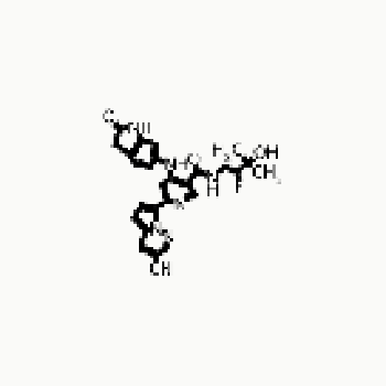 CC(C)(O)C(F)CNC(=O)c1cnc(-c2ccc3cc(C#N)cnn23)cc1Nc1ccc2c(c1)NC(=O)C2